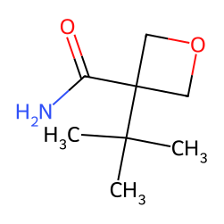 CC(C)(C)C1(C(N)=O)COC1